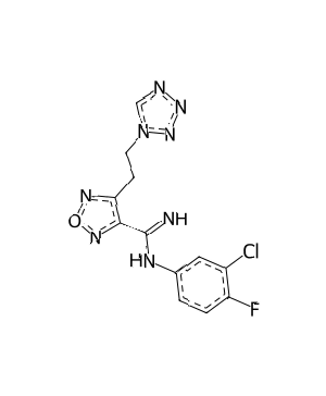 N=C(Nc1ccc(F)c(Cl)c1)c1nonc1CCn1cnnn1